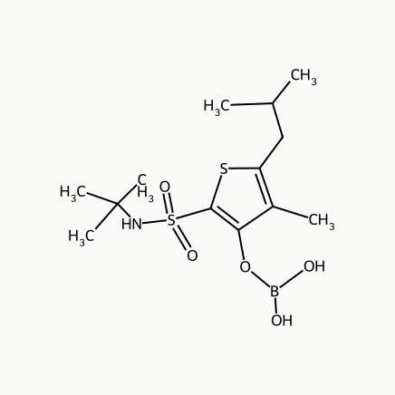 Cc1c(CC(C)C)sc(S(=O)(=O)NC(C)(C)C)c1OB(O)O